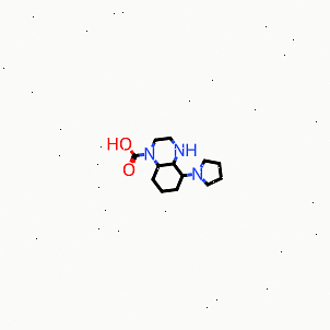 O=C(O)N1CCNC2C(N3CCCC3)CCCC21